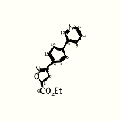 CCOC(=O)C1CC(c2ccc(-c3cccnc3)cc2)=NO1